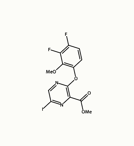 COC(=O)c1nc(I)cnc1Oc1ccc(F)c(F)c1OC